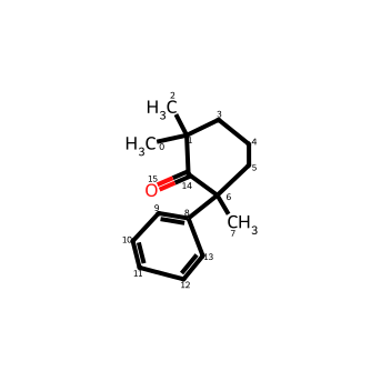 CC1(C)CCCC(C)(c2ccccc2)C1=O